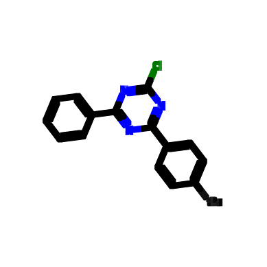 CC(C)(C)c1ccc(-c2nc(Cl)nc(-c3ccccc3)n2)cc1